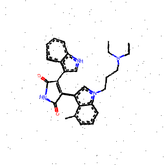 CCN(CC)CCCn1cc(C2=C(c3c[nH]c4ccccc34)C(=O)NC2=O)c2c(C)cccc21